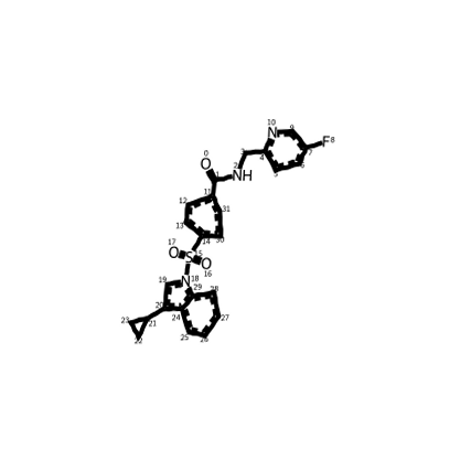 O=C(NCc1ccc(F)cn1)c1ccc(S(=O)(=O)n2cc(C3CC3)c3ccccc32)cc1